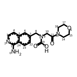 Nc1nccc2cc(CN(CC(=O)N3CCOCC3)C(=O)O)ccc12